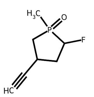 C#CC1CC(F)P(C)(=O)C1